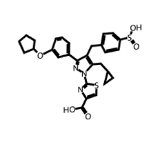 O=C(O)c1csc(-n2nc(-c3cccc(OC4CCCC4)c3)c(Cc3ccc(S(=O)O)cc3)c2CC2CC2)n1